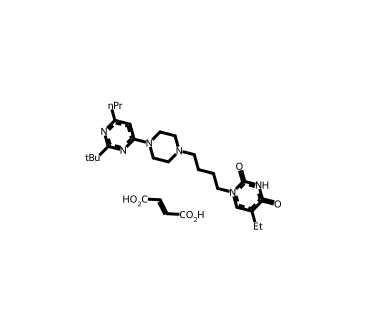 CCCc1cc(N2CCN(CCCCn3cc(CC)c(=O)[nH]c3=O)CC2)nc(C(C)(C)C)n1.O=C(O)C=CC(=O)O